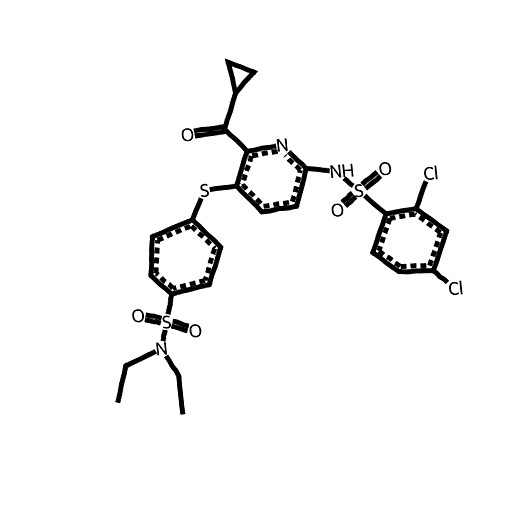 CCN(CC)S(=O)(=O)c1ccc(Sc2ccc(NS(=O)(=O)c3ccc(Cl)cc3Cl)nc2C(=O)C2CC2)cc1